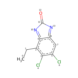 CCc1c(Cl)c(Cl)cc2c1=NC(=O)N=2